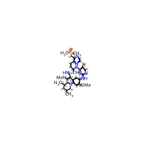 C=C(/C=C\c1nccnc1CP(C)(C)=O)Nc1nc(Nc2cc(/C(C=N)=C/NC)c(N3CC(C)CC(C)C3)cc2OC)ncc1Br